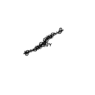 C=CC(=O)OCCCCCCOc1ccc2cc(C(=O)Oc3ccc(OC(=O)c4ccc5cc(OCCCCCCOC(=O)C(=C)C)ccc5c4)c(CCC)c3)ccc2c1